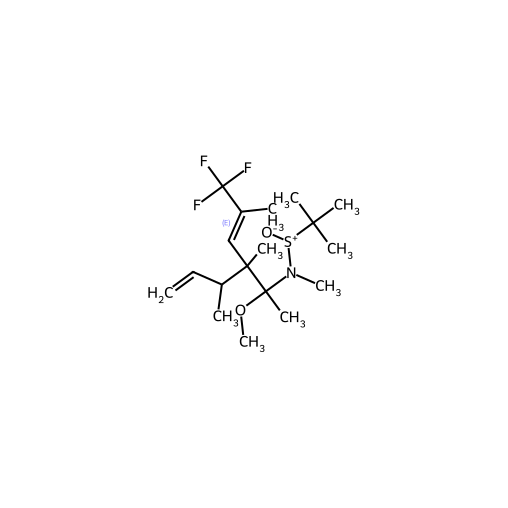 C=CC(C)C(C)(/C=C(\C)C(F)(F)F)C(C)(OC)N(C)[S+]([O-])C(C)(C)C